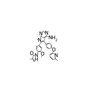 C=C(C)C(=O)Nc1ccc(-c2c(-c3ccc(Oc4cccc(C)n4)cc3)c3c(N)ncnc3n2C)cc1OC